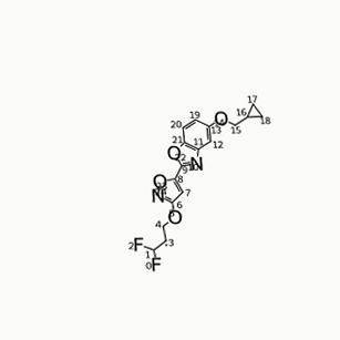 FC(F)[CH]COc1cc(-c2nc3cc(OCC4CC4)ccc3o2)on1